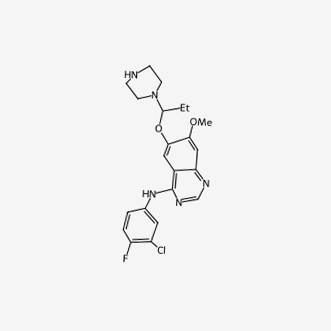 CCC(Oc1cc2c(Nc3ccc(F)c(Cl)c3)ncnc2cc1OC)N1CCNCC1